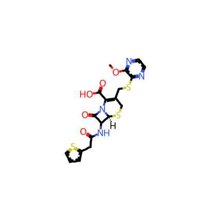 COc1nccnc1SCC1=C(C(=O)O)N2C(=O)C(NC(=O)Cc3cccs3)[C@@H]2SC1